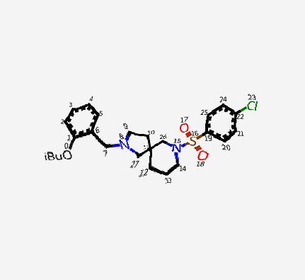 CC(C)COc1ccccc1CN1CCC2(CCCN(S(=O)(=O)c3ccc(Cl)cc3)C2)C1